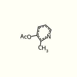 CC(=O)Oc1cccnc1C